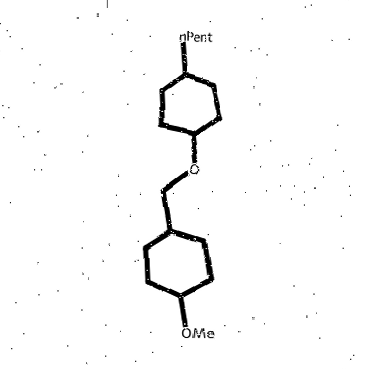 CCCCCC1CCC(OCC2CCC(OC)CC2)CC1